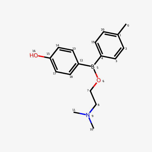 Cc1ccc(B(OCCN(C)C)c2ccc(O)cc2)cc1